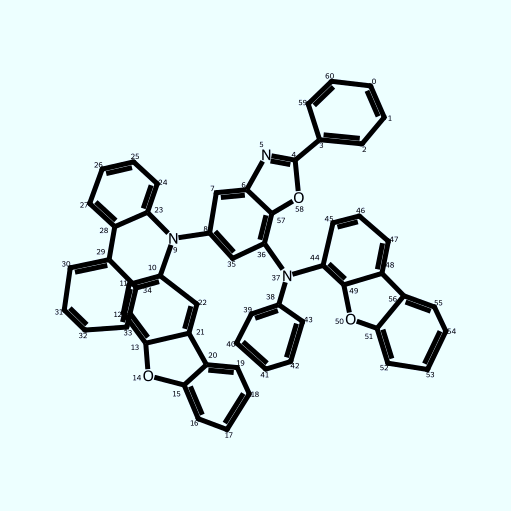 c1ccc(-c2nc3cc(N(c4ccc5oc6ccccc6c5c4)c4ccccc4-c4ccccc4)cc(N(c4ccccc4)c4cccc5c4oc4ccccc45)c3o2)cc1